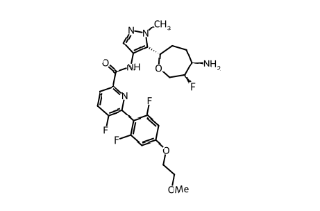 COCCOc1cc(F)c(-c2nc(C(=O)Nc3cnn(C)c3[C@@H]3CC[C@@H](N)[C@@H](F)CO3)ccc2F)c(F)c1